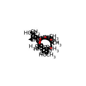 C=C(O)c1cn(C2CC2)c2c(Cl)c(N3CCN(C4CCN(C5=C6NC(=O)/C(C)=C\C=C\[C@H](C)[C@H](O)[C@@H](C)[C@@H](O)[C@@H](C)[C@H](OC(C)=O)[C@H](C)[C@@H](OC)/C=C/O[C@@]7(C)Oc8c(C)c(O)c(c(c8C7=O)C5=O)C6=O)CC4)CC3)c(F)cc2c1=O